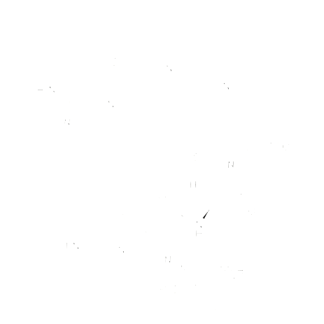 CC(C)(O/N=C(\C(=O)N[C@@H]1C(=O)N2C(C(=O)[O-])=C(C[n+]3ccc4ccn(Cc5nc(C(=N)N)cs5)c4c3)CS[C@H]12)c1nc(N)sc1Cl)C(=O)O